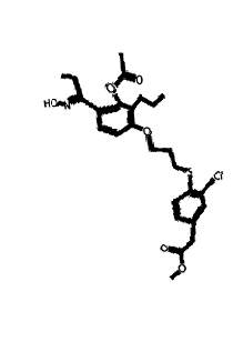 CCCc1c(OCCCSc2ccc(CC(=O)OC)cc2Cl)ccc(C(CC)=NO)c1OC(C)=O